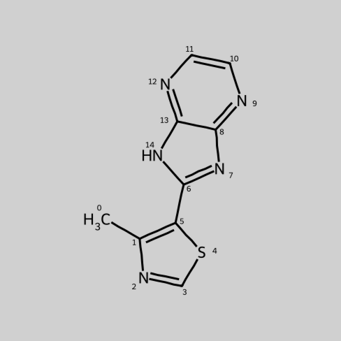 Cc1ncsc1-c1nc2nccnc2[nH]1